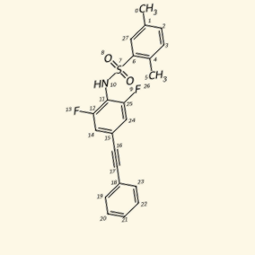 Cc1ccc(C)c(S(=O)(=O)Nc2c(F)cc(C#Cc3ccccc3)cc2F)c1